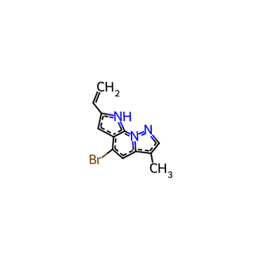 C=Cc1cc2c(Br)cc3c(C)cnn3c2[nH]1